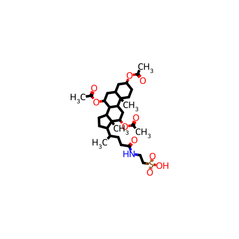 CC(=O)OC1CCC2(C)C(C1)CC(OC(C)=O)C1C2CC(OC(C)=O)C2(C)C(C(C)CCC(=O)NCCS(=O)(=O)O)CCC12